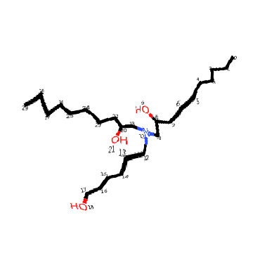 CCCCCCCCC(O)CN(CCCCCCO)CC(O)CCCCCCCC